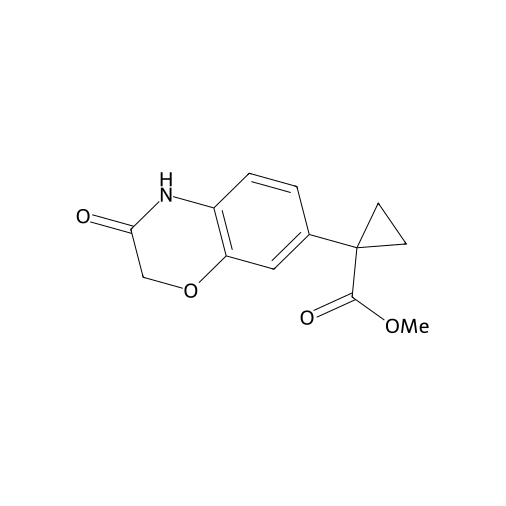 COC(=O)C1(c2ccc3c(c2)OCC(=O)N3)CC1